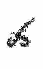 CC(=O)CCCC(=O)NC(COCCC(=O)NCCC(=O)NCC1CCC(CN2CCN(Cc3ccc(F)cc3)CC2)O1)(COCCC(=O)NCCC(=O)NCC1CCC(CN2CCN(Cc3ccc(F)cc3)CC2)O1)COCCC(=O)NCCC(=O)NCC1CCC(CN2CCN(Cc3ccc(F)cc3)CC2)O1